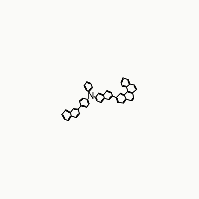 c1ccc(N(c2ccc(-c3ccc4ccccc4c3)cc2)c2ccc3cc(-c4ccc5ccc6ccc7ccccc7c6c5c4)ccc3c2)cc1